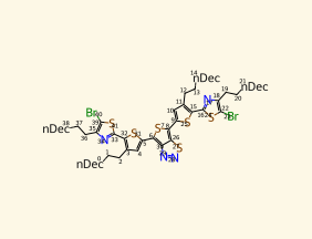 CCCCCCCCCCCCc1cc(-c2sc(-c3cc(CCCCCCCCCCCC)c(-c4nc(CCCCCCCCCCCC)c(Br)s4)s3)c3snnc23)sc1-c1nc(CCCCCCCCCCCC)c(Br)s1